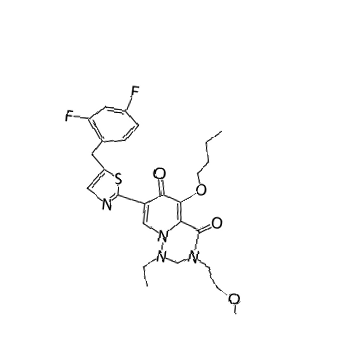 CCCCOc1c2n(cc(-c3ncc(Cc4ccc(F)cc4F)s3)c1=O)N(CC)CN(CCOC)C2=O